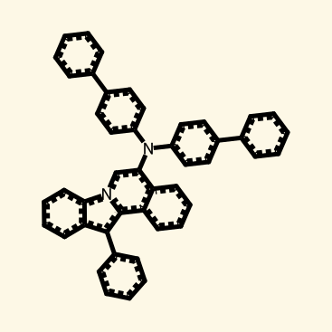 c1ccc(-c2ccc(N(c3ccc(-c4ccccc4)cc3)c3cn4c5ccccc5c(-c5ccccc5)c4c4ccccc34)cc2)cc1